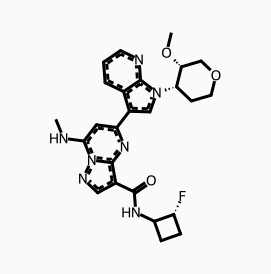 CNc1cc(-c2cn([C@H]3CCOC[C@H]3OC)c3ncccc23)nc2c(C(=O)NC3CC[C@H]3F)cnn12